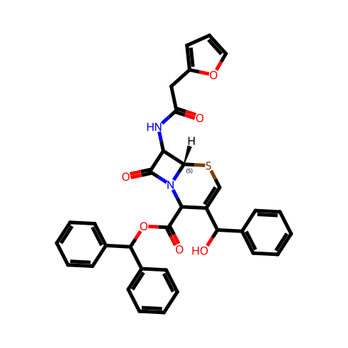 O=C(Cc1ccco1)NC1C(=O)N2C(C(=O)OC(c3ccccc3)c3ccccc3)C(C(O)c3ccccc3)=CS[C@@H]12